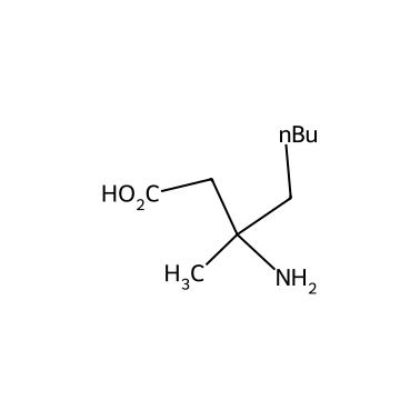 CCCCCC(C)(N)CC(=O)O